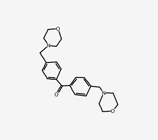 O=C(c1ccc(CN2CCOCC2)cc1)c1ccc(CN2CCOCC2)cc1